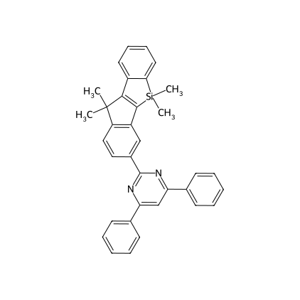 CC1(C)C2=C(c3cc(-c4nc(-c5ccccc5)cc(-c5ccccc5)n4)ccc31)[Si](C)(C)c1ccccc12